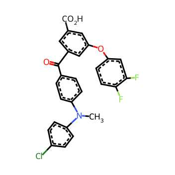 CN(c1ccc(Cl)cc1)c1ccc(C(=O)c2cc(Oc3ccc(F)c(F)c3)cc(C(=O)O)c2)cc1